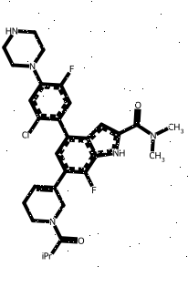 CC(C)C(=O)N1CCC=C(c2cc(-c3cc(F)c(N4CCNCC4)cc3Cl)c3cc(C(=O)N(C)C)[nH]c3c2F)C1